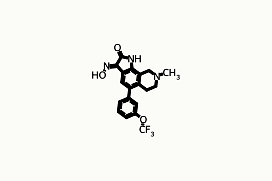 CN1CCc2c(-c3cccc(OC(F)(F)F)c3)cc3c(c2C1)NC(=O)/C3=N/O